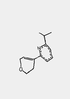 CC(C)c1cccc(C2=CCOCC2)n1